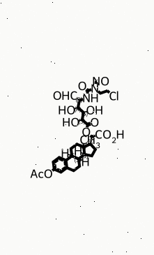 CC(=O)Oc1ccc2c(c1)CC[C@@H]1[C@@H]2CC[C@]2(C)[C@@H](C(OC(=O)[C@@H](O)[C@@H](O)[C@H](O)[C@H](C=O)NC(=O)N(CCCl)N=O)C(=O)O)CC[C@@H]12